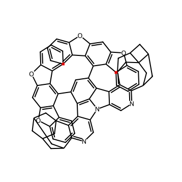 c1ccc2c(c1)oc1cc3oc4ccccc4c3c(-c3cc(-c4c5c(cc6oc7ccccc7c46)oc4ccccc45)c4c5c6c(ncc5n5c7cnc8c(c7c3c45)C3CC4CC(CC8C4)C3)C3CC4CC5CC6CC45C3)c12